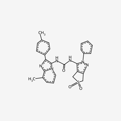 Cc1ccc(-c2nc3c(C)cccn3c2NC(=O)Nc2c3c(nn2-c2ccccc2)CS(=O)(=O)C3)cc1